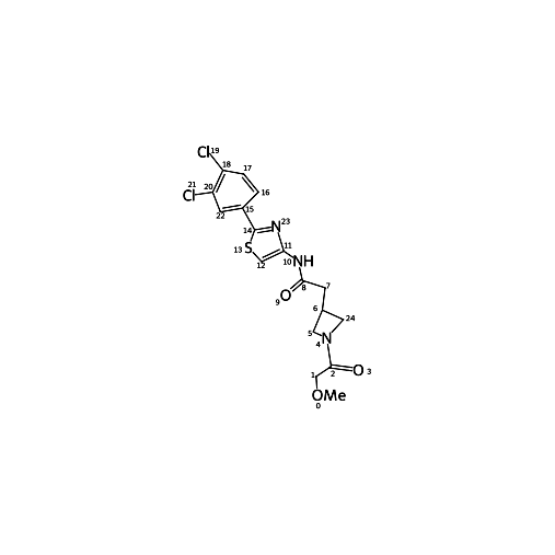 COCC(=O)N1CC(CC(=O)Nc2csc(-c3ccc(Cl)c(Cl)c3)n2)C1